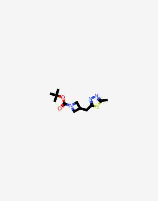 Cc1nnc(CC2CN(C(=O)OC(C)(C)C)C2)s1